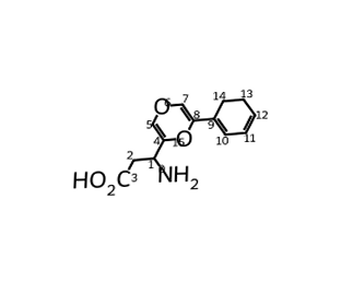 NC(CC(=O)O)C1=COC=C(C2=CC=CCC2)O1